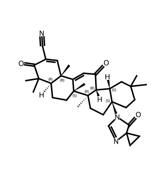 CC1(C)CC[C@]2(N3C=NC4(CC4)C3=O)CC[C@]3(C)[C@H](C(=O)C=C4[C@@]5(C)C=C(C#N)C(=O)C(C)(C)[C@@H]5CC[C@]43C)[C@@H]2C1